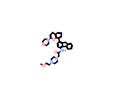 COCCN1CCN(CC(=O)Nc2ccc(-c3cccc4c3OC(N3CCOCC3)=CC4)c3c2-c2ccccc2C3)CC1